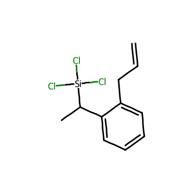 C=CCc1ccccc1C(C)[Si](Cl)(Cl)Cl